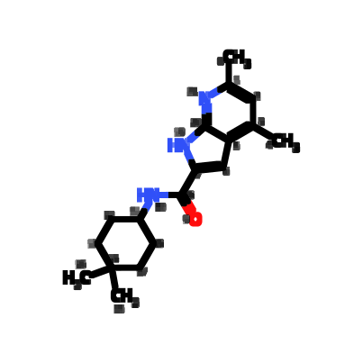 Cc1cc(C)c2cc(C(=O)NC3CCC(C)(C)CC3)[nH]c2n1